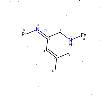 CCNC/C(C=C(C)C)=N/C(C)C